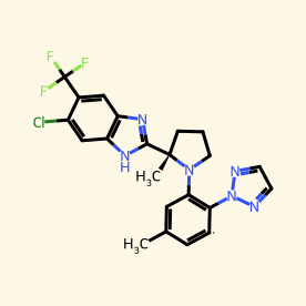 Cc1c[c]c(-n2nccn2)c(N2CCC[C@@]2(C)c2nc3cc(C(F)(F)F)c(Cl)cc3[nH]2)c1